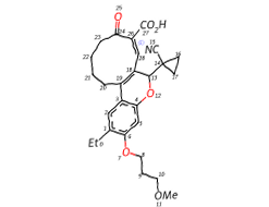 CCc1cc2c(cc1OCCCOC)OC(C1(C#N)CC1)C1=C2CCCCC(=O)/C(C(=O)O)=C\1